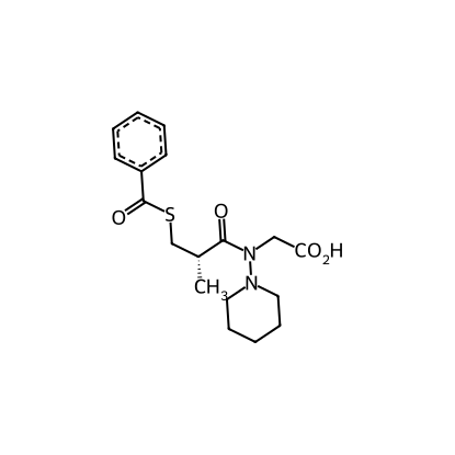 C[C@H](CSC(=O)c1ccccc1)C(=O)N(CC(=O)O)N1CCCCC1